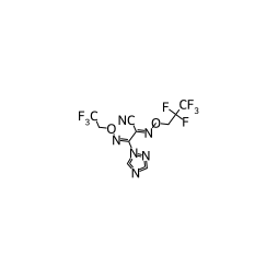 N#CC(=NOCC(F)(F)C(F)(F)F)C(=NOCC(F)(F)F)n1cncn1